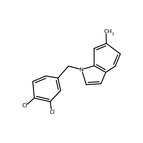 Cc1ccc2ccn(Cc3ccc(Cl)c(Cl)c3)c2c1